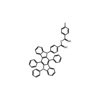 Cc1ccc(C(=N)OC(=N)c2ccc(-n3c4ccccc4c4c(-c5ccccc5)c5c(c(-c6ccccc6)c43)c3ccccc3n5-c3ccccc3)cc2)cc1